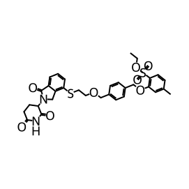 CCOS(=O)(=O)c1ccc(C)cc1OCc1ccc(COCCSc2cccc3c2CN(C2CCC(=O)NC2=O)C3=O)cc1